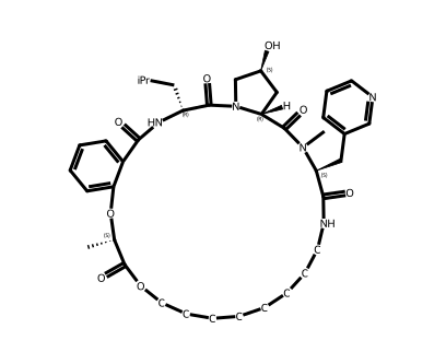 CC(C)C[C@H]1NC(=O)c2ccccc2O[C@@H](C)C(=O)OCCCCCCCCNC(=O)[C@H](Cc2cccnc2)N(C)C(=O)[C@H]2C[C@H](O)CN2C1=O